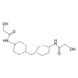 O=C(CO)NC1CCC(CC2CCC(NC(=O)CO)CC2)CC1